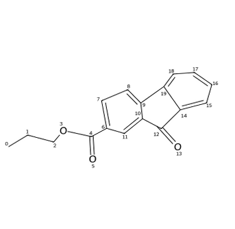 CCCOC(=O)c1ccc2c(c1)C(=O)c1ccccc1-2